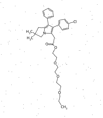 CCCOCCOCCOCCOC(=O)Cc1c(-c2ccc(Cl)cc2)c(-c2ccccc2)c2n1CC(C)(C)C2